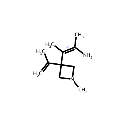 C=C(C)C1(/C(C)=C(/C)N)CN(C)C1